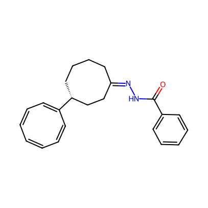 O=C(N/N=C1/CCCC[C@@H](C2=C/C=C\C=C/C=C\2)CC1)c1ccccc1